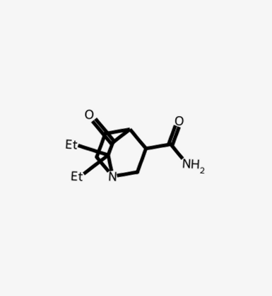 CCC1(CC)C(=O)C2CCN1CC2C(N)=O